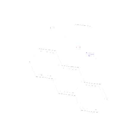 CCS(=O)(=O)c1cccc2cc3ccccc3c(N)c12